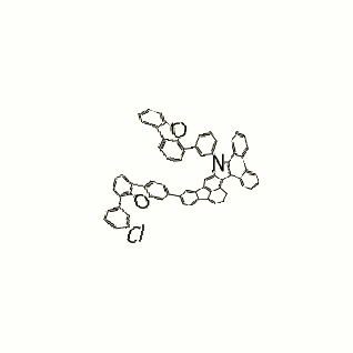 Clc1cccc(-c2cccc3c2oc2cc(-c4ccc5c(c4)-c4cc6c(c7c4C5=CCC7)c4c5ccccc5c5ccccc5c4n6-c4cccc(-c5cccc6c5oc5ccccc56)c4)ccc23)c1